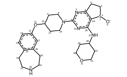 [O-][S+]1CCc2nc(N3CCC(Oc4ccc5c(c4)CCNCC5)CC3)nc(NC3CCOCC3)c21